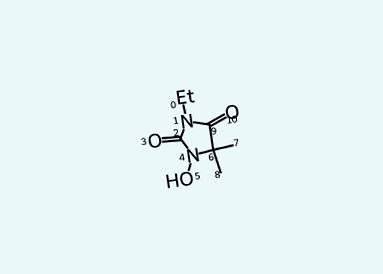 CCN1C(=O)N(O)C(C)(C)C1=O